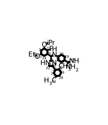 CCOc1cc(OC(C)C)c(F)c(C(Nc2ccc(C(=N)N)cc2)c2nc(-c3cc(C)ccc3C)c[nH]2)c1